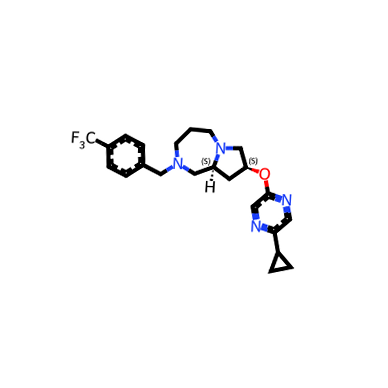 FC(F)(F)c1ccc(CN2CCCN3C[C@@H](Oc4cnc(C5CC5)cn4)C[C@H]3C2)cc1